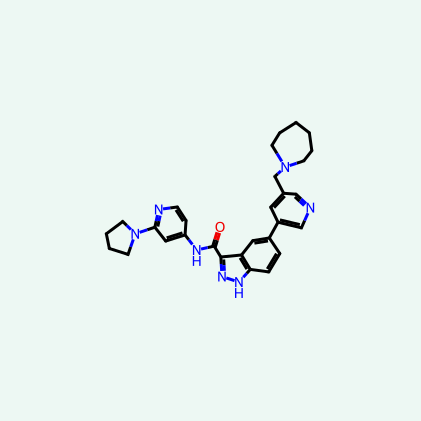 O=C(Nc1ccnc(N2CCCC2)c1)c1n[nH]c2ccc(-c3cncc(CN4CCCCCC4)c3)cc12